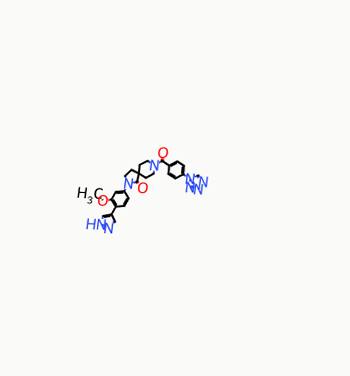 COc1cc(N2CCC3(CCN(C(=O)c4ccc(-n5cnnn5)cc4)CC3)C2=O)ccc1-c1cn[nH]c1